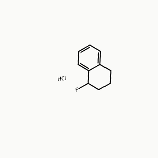 Cl.FC1CCCc2ccccc21